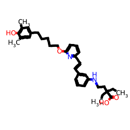 CCC(CC)(CCNc1cccc(C=Cc2cccc(OCCCCCc3cc(C)c(O)c(C)c3)n2)c1)C(=O)O